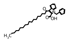 CCCCCCCCCCCCCCCCCC(=O)c1c(C(=O)O)n(Cc2ccccc2)c2ccccc12